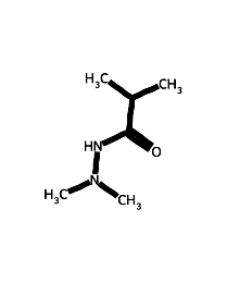 CC(C)C(=O)NN(C)C